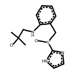 CC(C)(Cl)CNc1ccccc1C[S+]([O-])c1ncc[nH]1